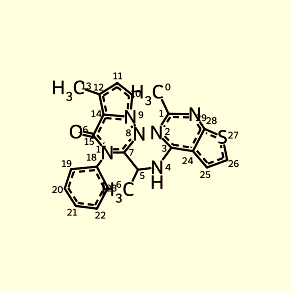 Cc1nc(NC(C)c2nn3ccc(C)c3c(=O)n2-c2ccccc2)c2ccsc2n1